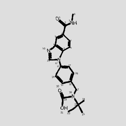 CNC(=O)c1ccc2c(c1)ncn2-c1ccc(CN(C(=O)O)C(C)(C)C)cc1